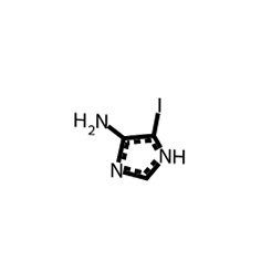 Nc1nc[nH]c1I